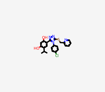 CC(C)c1cc(-c2nnc(SCc3ccccn3)n2-c2ccc(Cl)cc2)c(O)cc1O